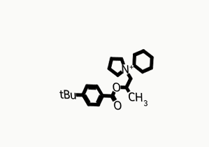 CC(C[N+]1(C2CCCCC2)CCCC1)OC(=O)c1ccc(C(C)(C)C)cc1